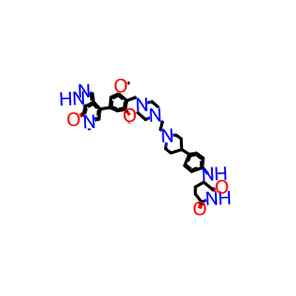 COc1cc(-c2cn(C)c(=O)c3[nH]ncc23)cc(OC)c1CN1CCN(CCN2CCC(c3ccc(NC4CCC(=O)NC4=O)cc3)CC2)CC1